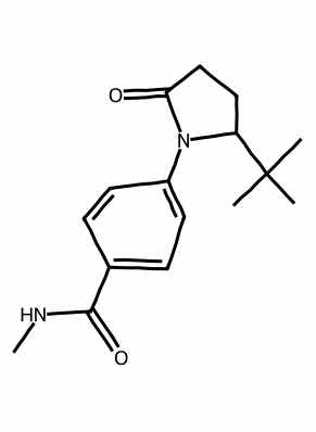 CNC(=O)c1ccc(N2C(=O)CCC2C(C)(C)C)cc1